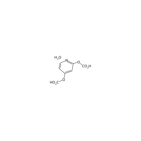 O.O=C(O)Oc1ccnc(OC(=O)O)c1